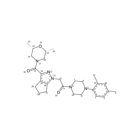 Cc1ccc(N2CCN(C(=O)Cn3nc(C(=O)N4C[C@@H](C)O[C@@H](C)C4)c4c3CCC4)CC2)c(C)c1